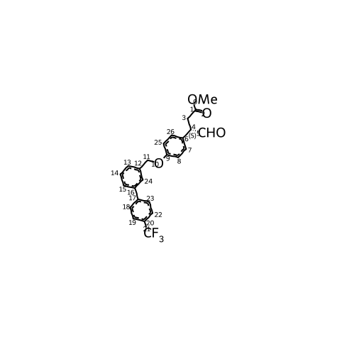 COC(=O)C[C@H](C=O)c1ccc(OCc2cccc(-c3ccc(C(F)(F)F)cc3)c2)cc1